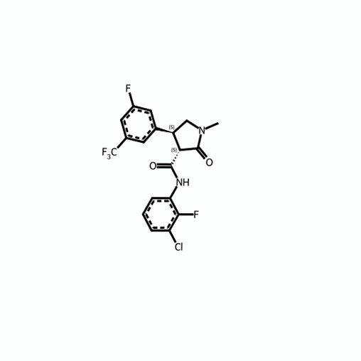 CN1C[C@H](c2cc(F)cc(C(F)(F)F)c2)[C@@H](C(=O)Nc2cccc(Cl)c2F)C1=O